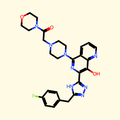 O=C(CN1CCN(c2nc(-c3nnc(Cc4ccc(F)cc4)[nH]3)c(O)c3ncccc23)CC1)N1CCOCC1